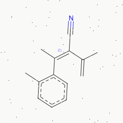 C=C(C)/C(C#N)=C(/C)c1ccccc1C